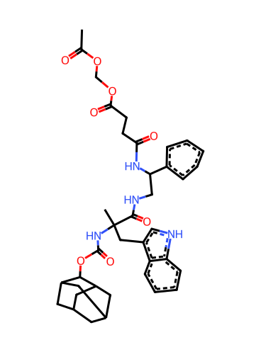 CC(=O)OCOC(=O)CCC(=O)NC(CNC(=O)C(C)(Cc1c[nH]c2ccccc12)NC(=O)OC1C2CC3CC(C2)CC1C3)c1ccccc1